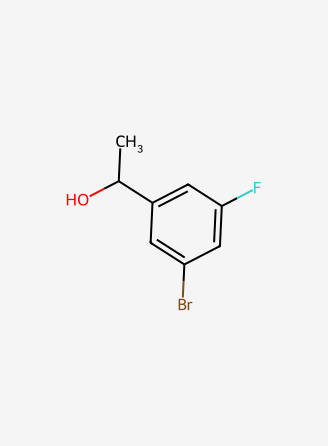 CC(O)c1cc(F)cc(Br)c1